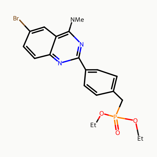 CCOP(=O)(Cc1ccc(-c2nc(NC)c3cc(Br)ccc3n2)cc1)OCC